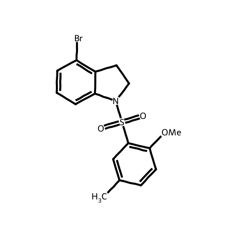 COc1ccc(C)cc1S(=O)(=O)N1CCc2c(Br)cccc21